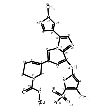 Cc1cc(Nc2nc(C3=CCCN(C(=O)OC(C)(C)C)C3)cn3c(-c4cnn(C)c4)cnc23)sc1S(=O)(=O)C(C)C